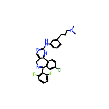 CN(C)CCCc1cccc(Nc2ncc3c(n2)-c2ccc(Cl)cc2C(c2c(F)cccc2F)=NC3)c1